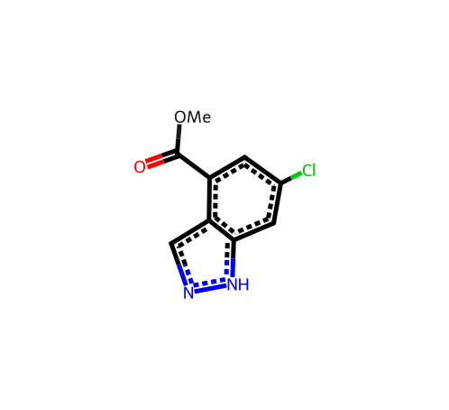 COC(=O)c1cc(Cl)cc2[nH]ncc12